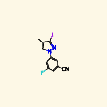 Cc1cn(-c2cc(F)cc(C#N)c2)nc1I